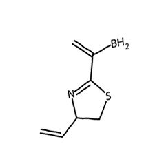 BC(=C)C1=NC(C=C)CS1